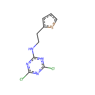 Clc1nc(Cl)nc(NCCc2cccs2)n1